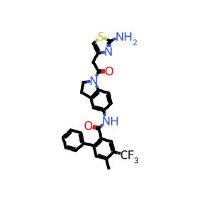 Cc1cc(-c2ccccc2)c(C(=O)Nc2ccc3c(c2)CCN3C(=O)Cc2csc(N)n2)cc1C(F)(F)F